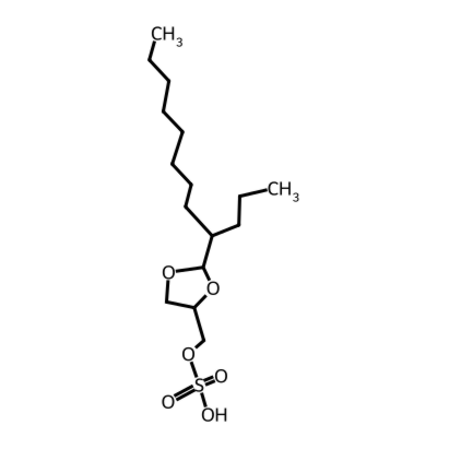 CCCCCCCCC(CCC)C1OCC(COS(=O)(=O)O)O1